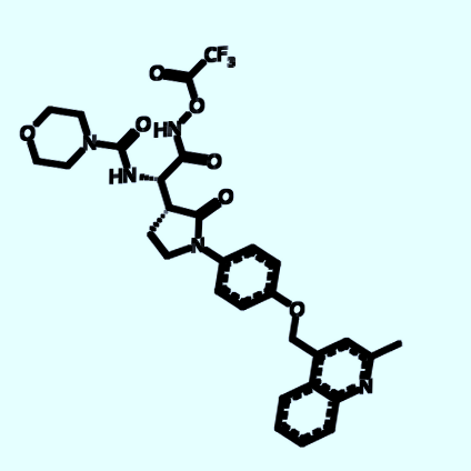 Cc1cc(COc2ccc(N3CC[C@H]([C@H](NC(=O)N4CCOCC4)C(=O)NOC(=O)C(F)(F)F)C3=O)cc2)c2ccccc2n1